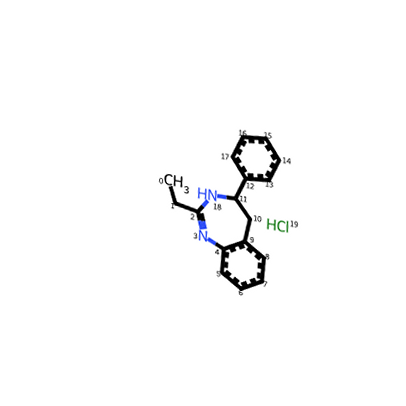 CCC1=Nc2ccccc2CC(c2ccccc2)N1.Cl